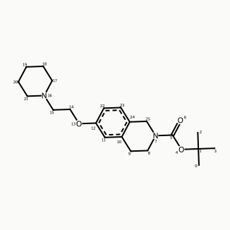 CC(C)(C)OC(=O)N1CCc2cc(OCCN3CCCCC3)ccc2C1